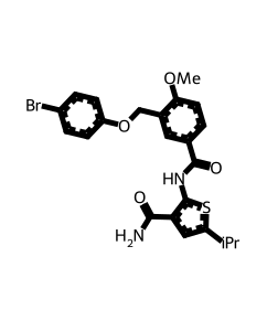 COc1ccc(C(=O)Nc2sc(C(C)C)cc2C(N)=O)cc1COc1ccc(Br)cc1